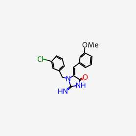 COc1cccc(/C=C2\C(=O)NC(=N)N2Cc2cccc(Cl)c2)c1